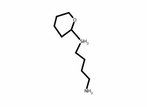 NCCCC[SiH2]C1CCCCO1